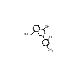 CCc1cccc(C(=O)O)c1COc1ccc(C)cc1Cl